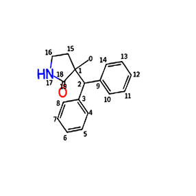 CC1(C(c2ccccc2)c2ccccc2)CCNC1=O